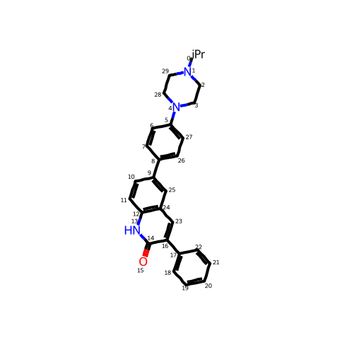 CC(C)N1CCN(c2ccc(-c3ccc4[nH]c(=O)c(-c5ccccc5)cc4c3)cc2)CC1